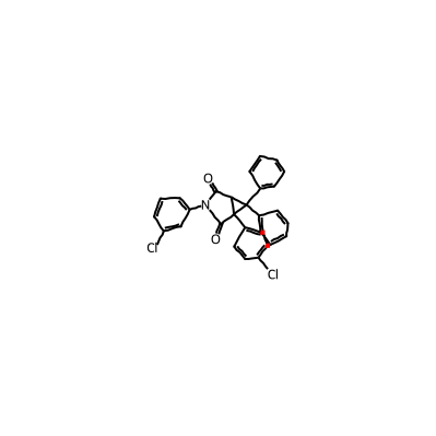 O=C1C2C(c3ccc(Cl)cc3)(C(=O)N1c1cccc(Cl)c1)C2(c1ccccc1)c1ccccc1